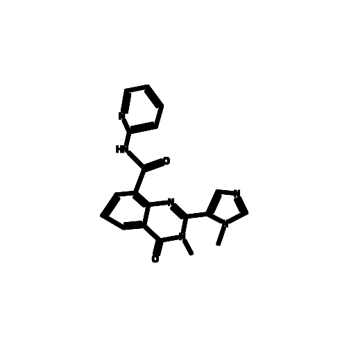 Cn1cncc1-c1nc2c(C(=O)Nc3ccccn3)cccc2c(=O)n1C